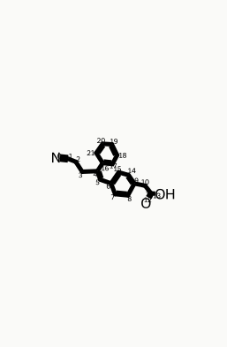 N#CCCC(=Cc1ccc(CC(=O)O)cc1)c1ccccc1